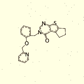 O=c1c2c3c(sc2ncn1Cc1ccccc1OCc1ccccn1)CCC3